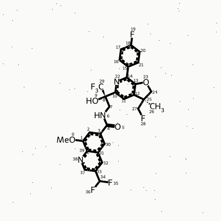 COc1cc(C(=O)NC[C@](O)(c2cc3c(c(-c4ccc(F)cc4)n2)OC[C@@]3(C)CF)C(F)(F)F)cc2cc(C(F)F)cnc12